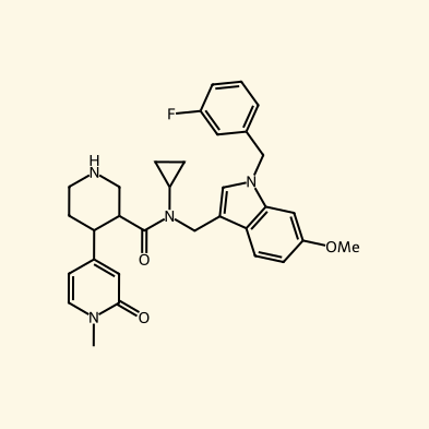 COc1ccc2c(CN(C(=O)C3CNCCC3c3ccn(C)c(=O)c3)C3CC3)cn(Cc3cccc(F)c3)c2c1